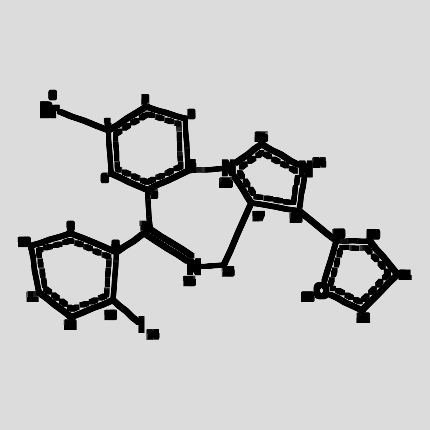 Brc1ccc2c(c1)C(c1ccccc1I)=NCc1c(-c3ccco3)ncn1-2